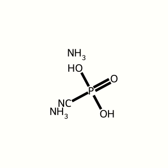 N.N.N#CP(=O)(O)O